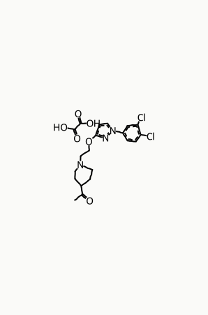 CC(=O)C1CCN(CCOc2ccn(-c3ccc(Cl)c(Cl)c3)n2)CC1.O=C(O)C(=O)O